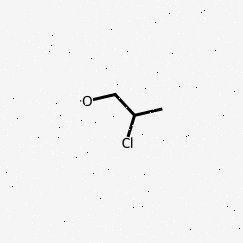 CC(Cl)C[O]